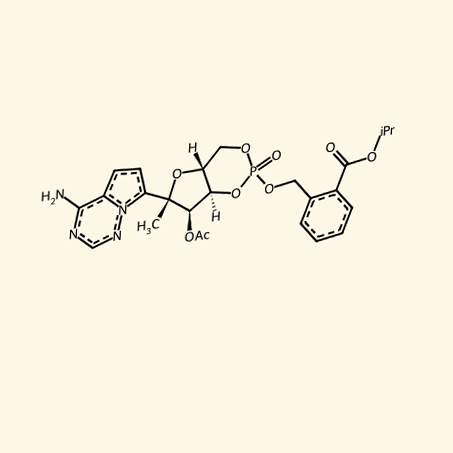 CC(=O)O[C@@H]1[C@@H]2OP(=O)(OCc3ccccc3C(=O)OC(C)C)OC[C@H]2O[C@@]1(C)c1ccc2c(N)ncnn12